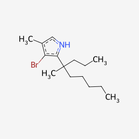 CCCCCC(C)(CCC)c1[nH]cc(C)c1Br